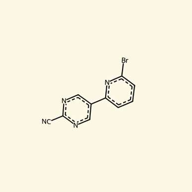 N#Cc1ncc(-c2cccc(Br)n2)cn1